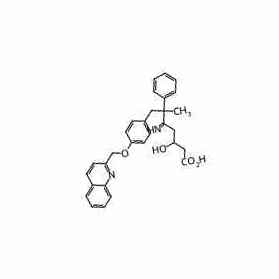 CC(Cc1ccc(OCc2ccc3ccccc3n2)cc1)(C(=N)CC(O)CC(=O)O)c1ccccc1